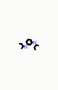 CCC(C)=Nc1cccc(N=C(C)CC)c1